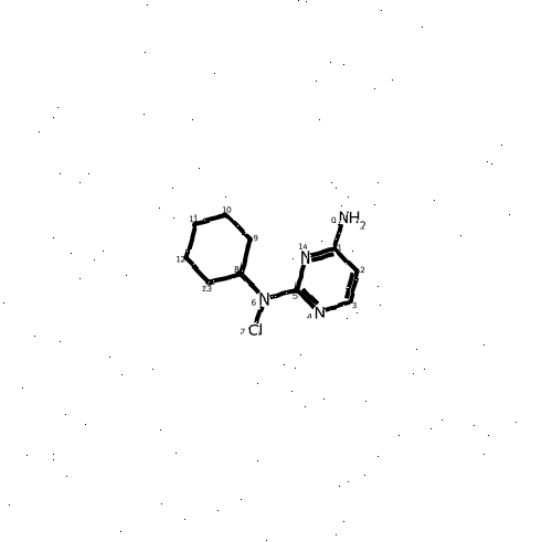 Nc1ccnc(N(Cl)C2CCCCC2)n1